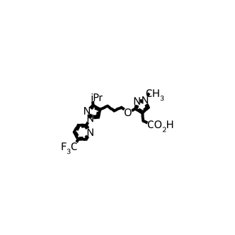 CC(C)c1nn(-c2ccc(C(F)(F)F)cn2)cc1CCCOc1nn(C)cc1CC(=O)O